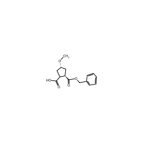 CO[C@H]1CC(C(=O)O)[C@H](C(=O)OCc2ccccc2)C1